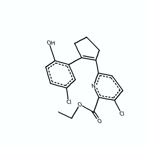 CCOC(=O)c1nc(C2=C(c3cc(Cl)ccc3O)CCC2)ccc1Cl